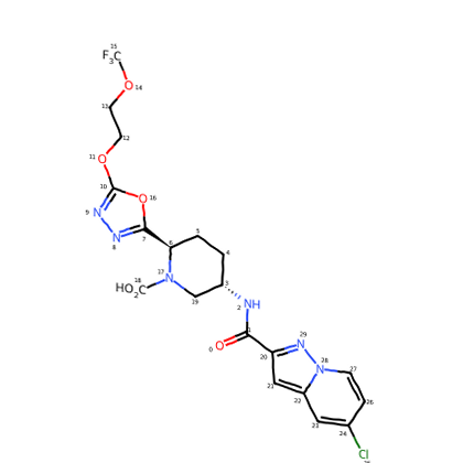 O=C(N[C@H]1CC[C@H](c2nnc(OCCOC(F)(F)F)o2)N(C(=O)O)C1)c1cc2cc(Cl)ccn2n1